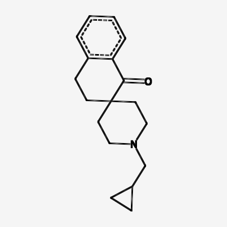 O=C1c2ccccc2CCC12CCN(CC1CC1)CC2